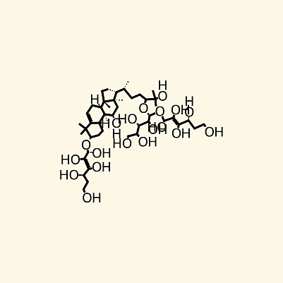 C[C@H](CCC(O[C@@H](O[C@H](O)/C(O)=C(\O)[C@H](O)CCO)C(O)[C@H](O)C(O)CO)C(C)(C)O)[C@H]1CC[C@@]2(C)[C@@H]3CC=C4[C@@H](CC[C@H](O[C@H](O)/C(O)=C(\O)[C@H](O)CCO)C4(C)C)[C@]3(C)[C@H](O)C[C@]12C